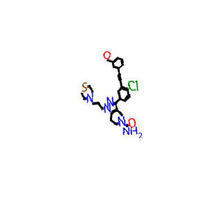 NC(=O)N1CCc2c(c(-c3ccc(Cl)c(C#Cc4cccc(C=O)c4)c3)nn2CCCN2CCSCC2)C1